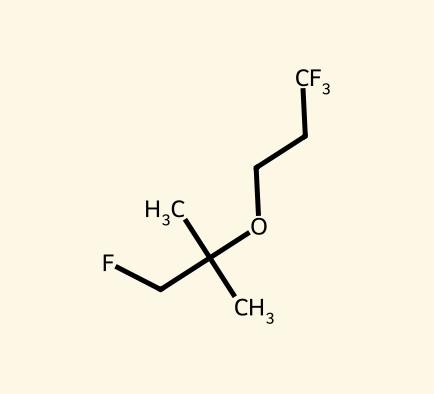 CC(C)(CF)OCCC(F)(F)F